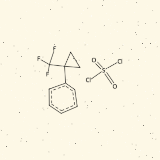 FC(F)(F)C1(c2ccccc2)CC1.O=S(=O)(Cl)Cl